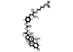 C[C@H]1C[C@H]2[C@@H]3CCC4=CC(=O)C=C[C@]4(C)[C@@]3(Cl)[C@@H](O)C[C@]2(C)C1(O)C(=O)COC(=O)Oc1ccc(CC(N)C(=O)OCCCCO[N+](=O)[O-])cc1